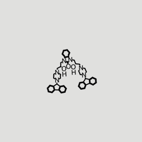 O=c1n(CC(O)CN2CCN(C3c4ccccc4-c4ccccc43)CC2)c2ccccc2n1CC(O)CN1CCN(C2c3ccccc3-c3ccccc32)CC1